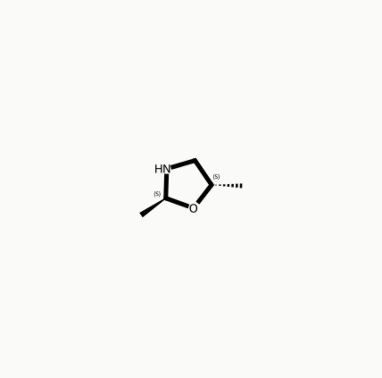 C[C@H]1CN[C@H](C)O1